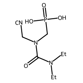 CCN(CC)C(=O)N(CC#N)CP(=O)(O)O